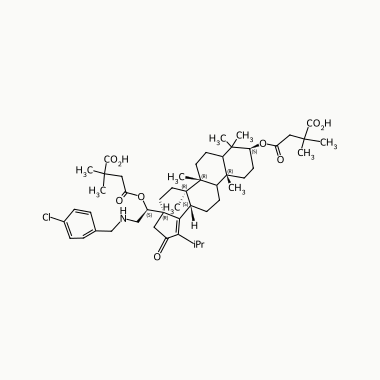 CC(C)C1=C2[C@H]3CCC4[C@@]5(C)CC[C@H](OC(=O)CC(C)(C)C(=O)O)C(C)(C)C5CC[C@@]4(C)[C@]3(C)CC[C@@]2([C@@H](CNCc2ccc(Cl)cc2)OC(=O)CC(C)(C)C(=O)O)CC1=O